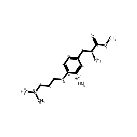 COC(=O)[C@@H](N)Cc1ccc(OCCCN(C)C)cc1.Cl.Cl